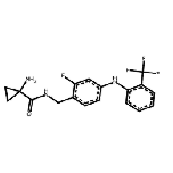 NC1(C(=O)NCc2ccc(Nc3ccccc3C(F)(F)F)cc2F)CC1